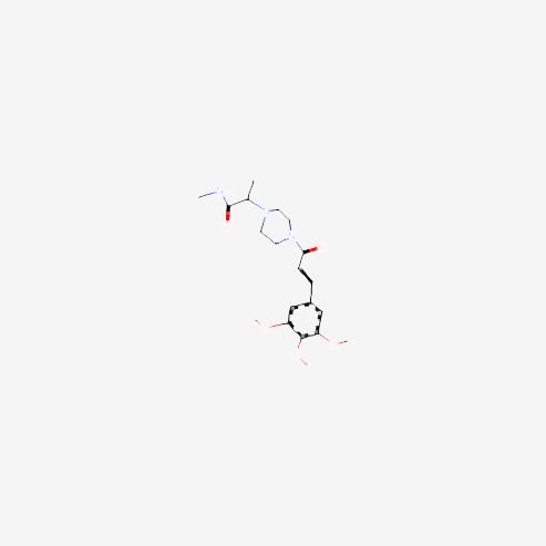 CNC(=O)C(C)N1CCN(C(=O)/C=C/c2cc(OC)c(OC)c(OC)c2)CC1